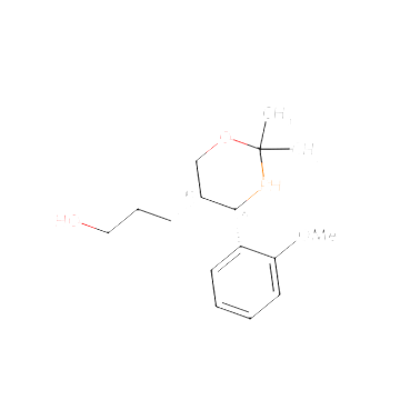 COc1ccccc1[C@H]1PC(C)(C)OC[C@H]1CCCO